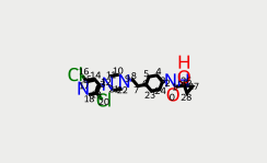 O=C(NC1CCC(CCN2CCN(c3cc(Cl)ncc3Cl)CC2)CC1)C1(O)CC1